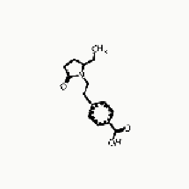 CCC1CCC(=O)N1CCc1ccc(C(=O)O)cc1